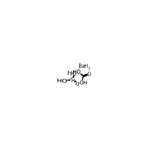 O=C(O)O.O=[Si](O)O.[BaH2]